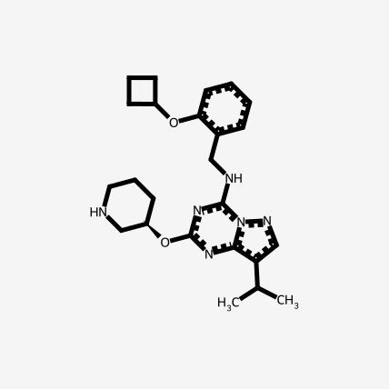 CC(C)c1cnn2c(NCc3ccccc3OC3CCC3)nc(O[C@@H]3CCCNC3)nc12